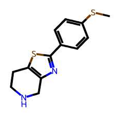 CSc1ccc(-c2nc3c(s2)CCNC3)cc1